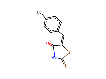 Cc1ccc(C=C2SC(=S)NC2=O)cc1